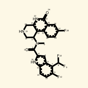 CN(C(=O)c1cc2c(C(F)F)c(F)ccc2[nH]1)C1CNCc2[nH]c(=O)c3cc(F)ccc3c21